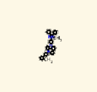 Cc1ccccc1-c1ccc(N(c2ccccc2)c2cccc3c2c2ccccc2n3-c2ccc(-c3nc(-c4ccccc4)c(-c4ccccc4)n3C)cc2)cc1